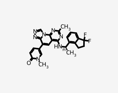 Cc1nc(N[C@H](C)c2cccc3c2CCC3(F)F)c2cc(-c3ccc(=O)n(C)c3)c3nncn3c2n1